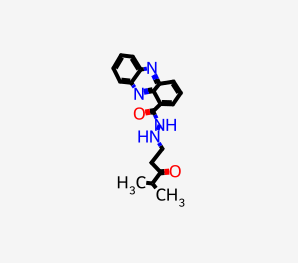 CC(C)C(=O)CCNNC(=O)c1cccc2nc3ccccc3nc12